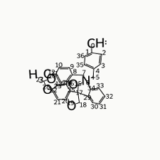 [CH]c1ccc(C[N+]2(Cc3ccc(C)cc3)C(=O)C3(COc4cc5c(cc43)OCO5)c3ccccc32)cc1